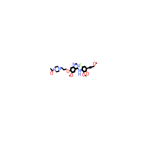 COCC#Cc1cc(F)c(Nc2ncnc3cc(OCCCN4CCN(C(C)=O)CC4)c(OC)cc23)c2c1OCO2